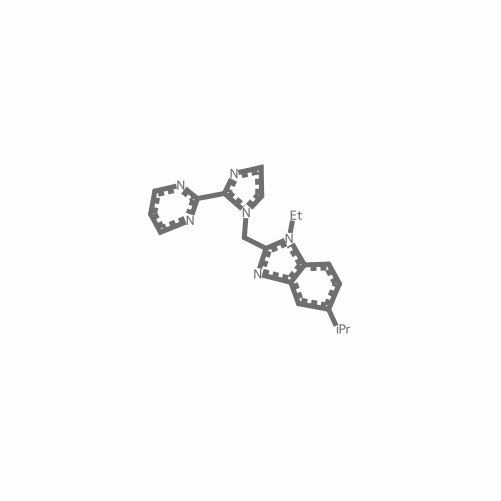 CCn1c(Cn2ccnc2-c2ncccn2)nc2cc(C(C)C)ccc21